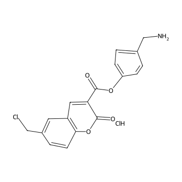 Cl.NCc1ccc(OC(=O)c2cc3cc(CCl)ccc3oc2=O)cc1